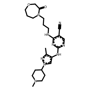 Cc1nn(C2CCN(C)CC2)cc1Nc1ncc(C#N)c(NCCCN2CCCOCC2=O)n1